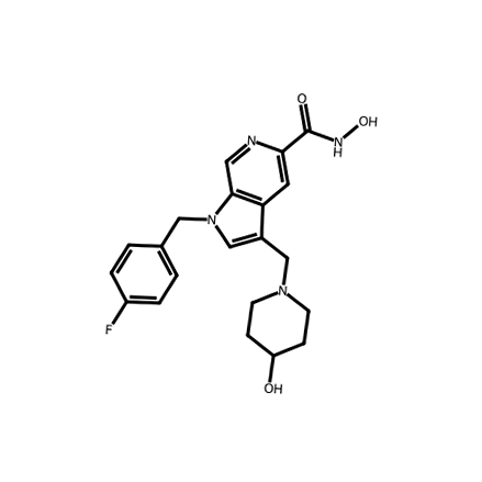 O=C(NO)c1cc2c(CN3CCC(O)CC3)cn(Cc3ccc(F)cc3)c2cn1